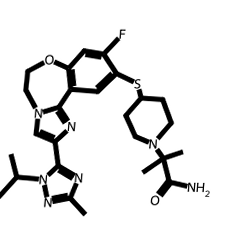 Cc1nc(-c2cn3c(n2)-c2cc(SC4CCN(C(C)(C)C(N)=O)CC4)c(F)cc2OCC3)n(C(C)C)n1